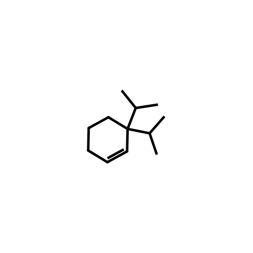 CC(C)C1(C(C)C)C=CCCC1